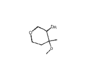 COC1(C)CCOCC1O